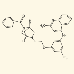 Cc1cc(Nc2cc(OCCN3C[C@@H]4C[C@H]3CN4C(=O)c3ccccc3)cc(C(F)(F)F)c2)c2ccccc2n1